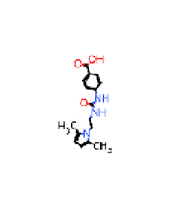 Cc1ccc(C)n1CCNC(=O)Nc1ccc(C(=O)O)cc1